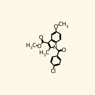 COC(=O)c1c(C)n(C(=O)c2ccc(Cl)cc2)c2ccc(OC)cc12